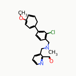 COC1=CC=C(c2ccc(CN(C)Cc3cccnc3C=O)c(Cl)c2)CC=C1